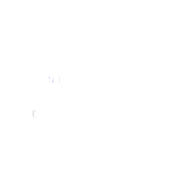 CC=CCCCC(N)CC